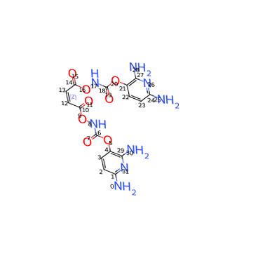 Nc1ccc(OC(=O)NOC(=O)/C=C\C(=O)ONC(=O)Oc2ccc(N)nc2N)c(N)n1